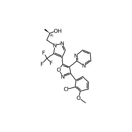 COc1cccc(-c2noc(-c3cnn(C[C@@H](C)O)c3C(F)(F)F)c2-c2ncccn2)c1Cl